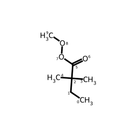 CCC(C)(C)C(=O)OOC